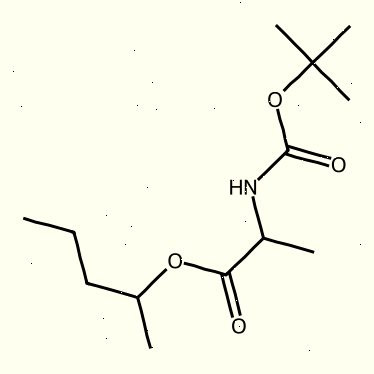 CCCC(C)OC(=O)C(C)NC(=O)OC(C)(C)C